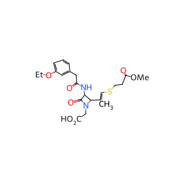 CCOc1cccc(CC(=O)NC2C(=O)N(CC(=O)O)C2C(C)=CSCCC(=O)OC)c1